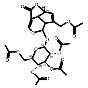 CC(=O)OCC1=C[C@@H]2OC(=O)C3=COC(O[C@@H]4O[C@H](COC(C)=O)[C@@H](OC(C)=O)[C@H](OC(C)=O)[C@H]4OC(C)=O)C1C32